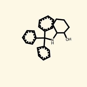 OC1CCCCC1NC(c1ccccc1)(c1ccccc1)c1ccccc1